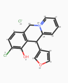 Oc1c(Cl)ccc2c1C(c1ccoc1)c1cccc[n+]1C2.[Cl-]